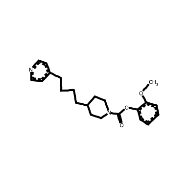 COc1ccccc1OC(=O)N1CCC(CCCCc2ccncc2)CC1